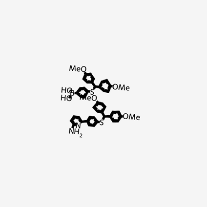 COc1ccc(C(Sc2ccc(-c3cccc(N)n3)cc2)c2ccc(OC)cc2)cc1.COc1ccc(C(Sc2ccc(B(O)O)cc2)c2ccc(OC)cc2)cc1